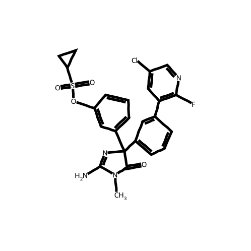 CN1C(=O)C(c2cccc(OS(=O)(=O)C3CC3)c2)(c2cccc(-c3cc(Cl)cnc3F)c2)N=C1N